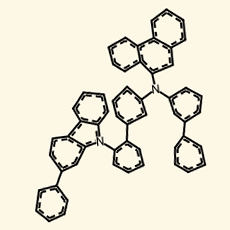 c1ccc(-c2cccc(N(c3cccc(-c4ccccc4-n4c5ccccc5c5ccc(-c6ccccc6)cc54)c3)c3cc4ccccc4c4ccccc34)c2)cc1